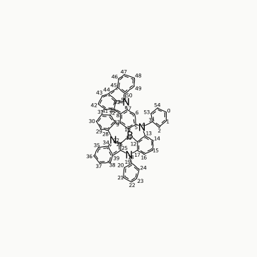 c1ccc(N2c3cc4c(cc3B3c5c2cccc5N(c2ccccc2)c2c3n(-c3ccccc3)c3ccccc23)c2cccc3c5ccccc5n4c32)cc1